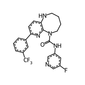 O=C(Nc1cncc(F)c1)N1CCCCNc2ccc(-c3cccc(C(F)(F)F)c3)nc21